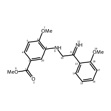 COC(=O)c1ccc(OC)c(NCC(=N)c2ccccc2OC)c1